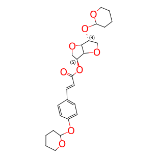 O=C(C=Cc1ccc(OC2CCCCO2)cc1)O[C@H]1COC2C1OC[C@H]2OC1CCCCO1